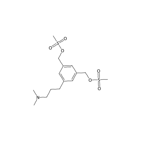 CN(C)CCCc1cc(COS(C)(=O)=O)cc(COS(C)(=O)=O)c1